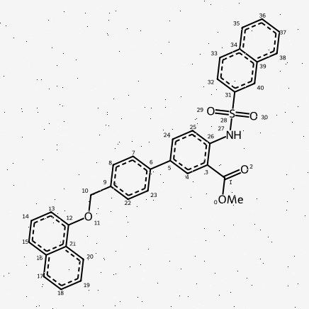 COC(=O)c1cc(-c2ccc(COc3cccc4ccccc34)cc2)ccc1NS(=O)(=O)c1ccc2ccccc2c1